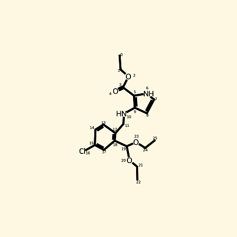 CCOC(=O)c1[nH]ccc1NCc1ccc(Cl)cc1C(OCC)OCC